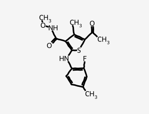 CONC(=O)c1c(Nc2ccc(C)cc2F)sc(C(C)=O)c1C